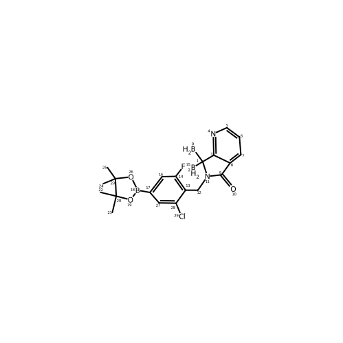 BC1(B)c2ncccc2C(=O)N1Cc1c(F)cc(B2OC(C)(C)C(C)(C)O2)cc1Cl